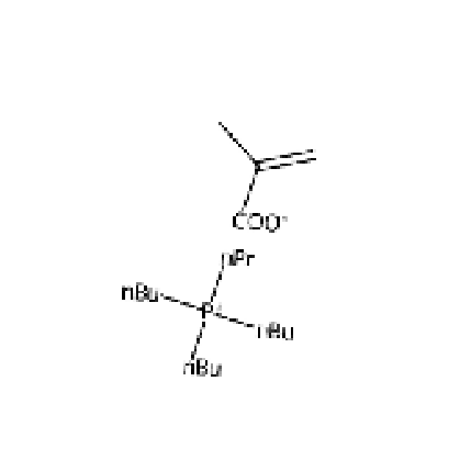 C=C(C)C(=O)[O-].CCCC[P+](CCC)(CCCC)CCCC